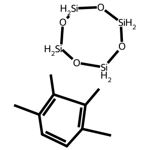 Cc1ccc(C)c(C)c1C.O1[SiH2]O[SiH2]O[SiH2]O[SiH2]1